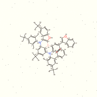 Cc1cc(C(C)(C)C)cc(C)c1N1c2cc(C(C)(C)C)cc3c2B(c2cc(-c4coc5ccccc45)ccc2N3c2c(C)cc(C(C)(C)C)cc2-c2ccccc2)c2oc3ccc(C(C)(C)C)cc3c21